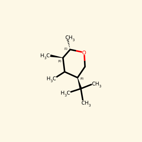 CC1[C@@H](C)[C@H](C)OC[C@H]1C(C)(C)C